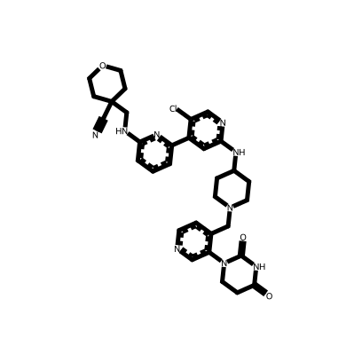 N#CC1(CNc2cccc(-c3cc(NC4CCN(Cc5ccncc5N5CCC(=O)NC5=O)CC4)ncc3Cl)n2)CCOCC1